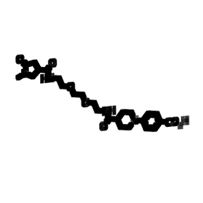 CN1CC(C(=O)NCCOCCOCCNC(=O)C2CCN(c3ccc(C(=O)O)cc3)CC2)CC1=O